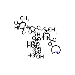 Cc1cn([C@H]2CC(OCSS(C)(C)CNC(=O)OC3CC/C=C/CCC3)[C@@H](COP(=O)(O)OP(=O)(O)OP(=O)(O)O)O2)c(=O)[nH]c1=O